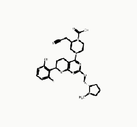 CN1CCC[C@H]1COc1nc2c(c(N3CCN(C(=O)O)C(CC#N)C3)n1)CCC(c1c(O)cccc1F)O2